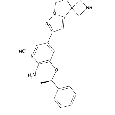 C[C@@H](Oc1cc(-c2cc3n(n2)CCC32CNC2)cnc1N)c1ccccc1.Cl